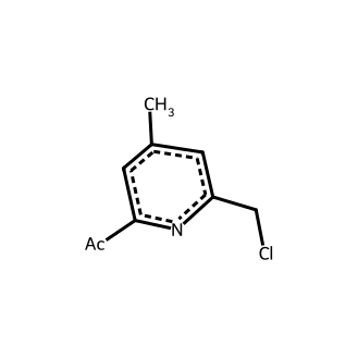 CC(=O)c1cc(C)cc(CCl)n1